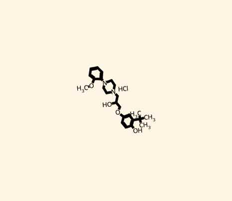 COc1ccccc1N1CCN(CC(O)COc2ccc(O)c(C(C)(C)C)c2)CC1.Cl